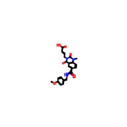 COc1ccc(CNC(=O)c2ccc3c(c2)c(=O)n(C/C=C/C(=O)O)c(=O)n3C)cc1